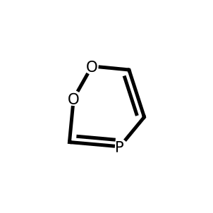 C1=CP=COO1